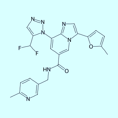 Cc1ccc(CNC(=O)c2cc(-n3nncc3C(F)F)c3ncc(-c4ccc(C)o4)n3c2)cn1